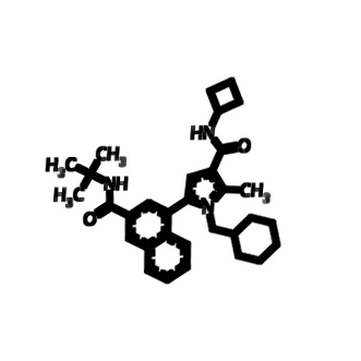 Cc1c(C(=O)NC2CCC2)cc(-c2cc(C(=O)NC(C)(C)C)cc3ccccc23)n1CC1CCCCC1